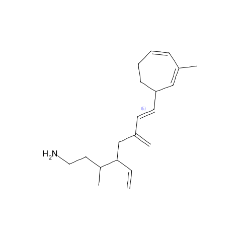 C=CC(CC(=C)/C=C/C1C=C(C)C=CCC1)C(C)CCN